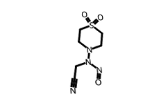 N#CCN(N=O)N1CCS(=O)(=O)CC1